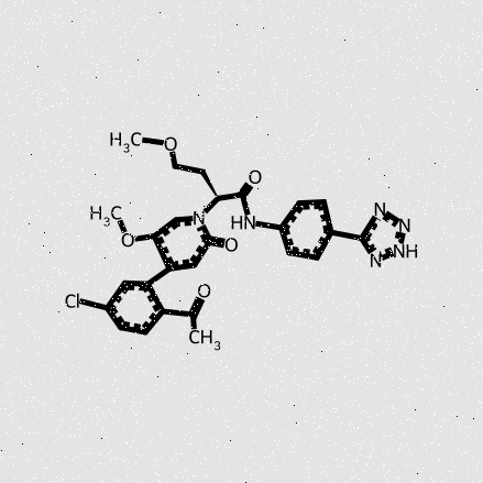 COCC[C@@H](C(=O)Nc1ccc(-c2nn[nH]n2)cc1)n1cc(OC)c(-c2cc(Cl)ccc2C(C)=O)cc1=O